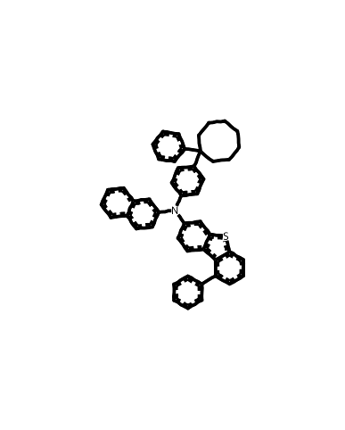 c1ccc(-c2cccc3sc4cc(N(c5ccc(C6(c7ccccc7)CCCCCCC6)cc5)c5ccc6ccccc6c5)ccc4c23)cc1